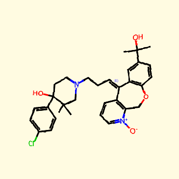 CC(C)(O)c1ccc2c(c1)/C(=C/CCN1CCC(O)(c3ccc(Cl)cc3)C(C)(C)C1)c1ccc[n+]([O-])c1CO2